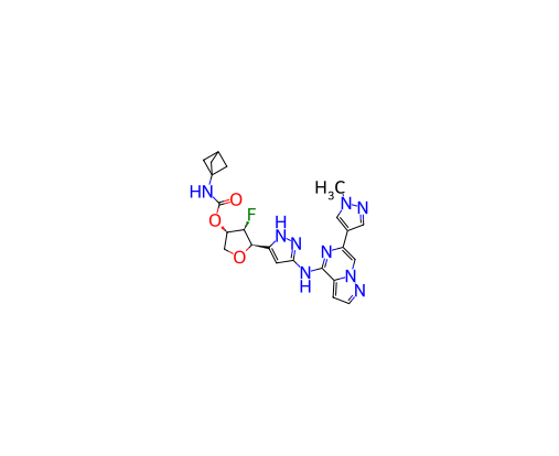 Cn1cc(-c2cn3nccc3c(Nc3cc([C@H]4OC[C@@H](OC(=O)NC56CC(C5)C6)[C@H]4F)[nH]n3)n2)cn1